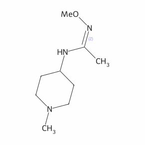 CO/N=C(/C)NC1CCN(C)CC1